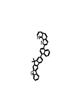 CC1(C)c2cc(-c3ccc(-c4ccc5ccc6cccnc6c5n4)c4ccccc34)ccc2-c2cc3c(cc21)oc1ccccc13